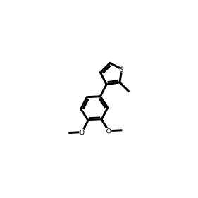 COc1ccc(-c2ccsc2C)cc1OC